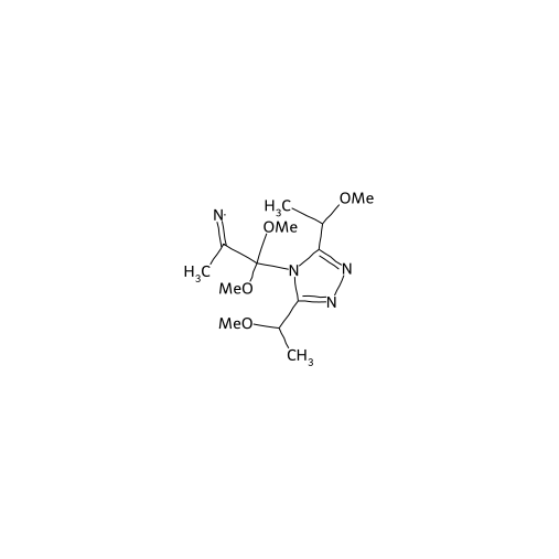 COC(C)c1nnc(C(C)OC)n1C(OC)(OC)C(C)=[N]